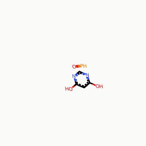 O=P.Oc1cc(O)ncn1